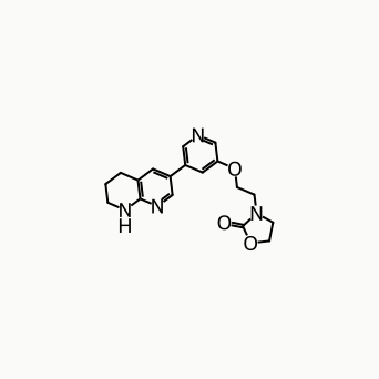 O=C1OCCN1CCOc1cncc(-c2cnc3c(c2)CCCN3)c1